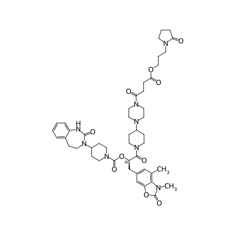 Cc1cc(C[C@@H](OC(=O)N2CCC(N3CCc4ccccc4NC3=O)CC2)C(=O)N2CCC(N3CCN(C(=O)CCC(=O)OCCCN4CCCC4=O)CC3)CC2)cc2oc(=O)n(C)c12